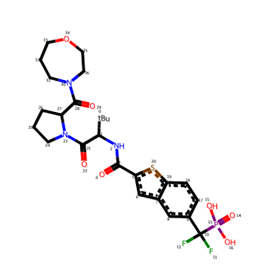 CC(C)(C)C(NC(=O)c1cc2cc(C(F)(F)P(=O)(O)O)ccc2s1)C(=O)N1CCCC1C(=O)N1CCCOCC1